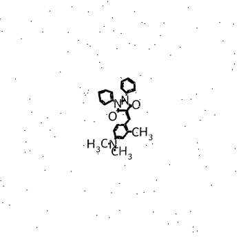 Cc1cc(N(C)C)ccc1C=C1C(=O)N(c2ccccc2)N(c2ccccc2)C1=O